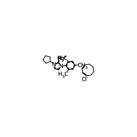 C1=C\CCCC\C=C/1.Cc1cc(C)c(-n2ccn(C3CCCC3)[c]2=[Rh+])c(C)c1.[Cl-]